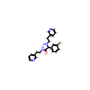 O=C(NCCc1cccnc1)C(NCCc1cccnc1)c1cccc(Br)c1